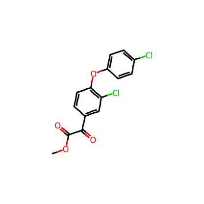 COC(=O)C(=O)c1ccc(Oc2ccc(Cl)cc2)c(Cl)c1